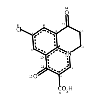 O=C(O)c1cn2c3c(cc(Cl)cc3c1=O)C(=O)CC2